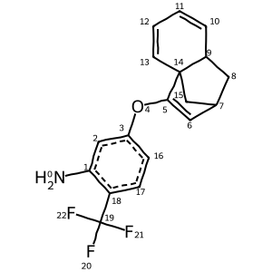 Nc1cc(OC2=CC3CC4C=CC=CC24C3)ccc1C(F)(F)F